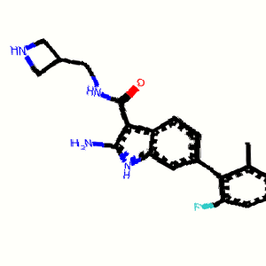 Cc1cccc(F)c1-c1ccc2c(C(=O)NCC3CNC3)c(N)[nH]c2c1